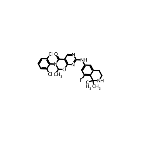 CC1Oc2nc(Nc3cc(F)c4c(c3)CCNC4(C)C)ncc2C(=O)N1c1c(Cl)cccc1Cl